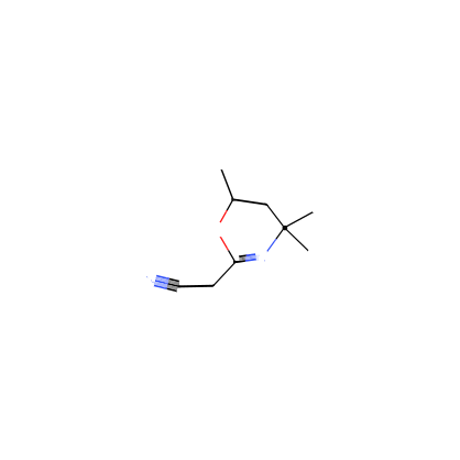 CC1CC(C)(C)N=C(CC#N)O1